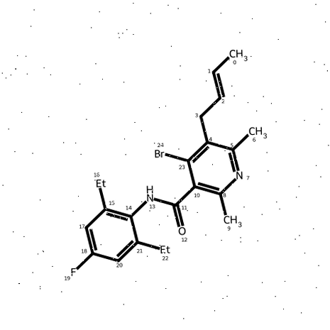 C/C=C/Cc1c(C)nc(C)c(C(=O)Nc2c(CC)cc(F)cc2CC)c1Br